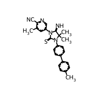 Cc1ccc(-c2ccc(N3C(=S)N(c4cnc(C#N)c(C)c4)C(=N)C3(C)C)cc2)cc1